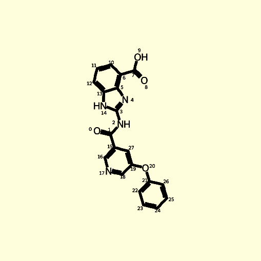 O=C(Nc1nc2c(C(=O)O)cccc2[nH]1)c1cncc(Oc2ccccc2)c1